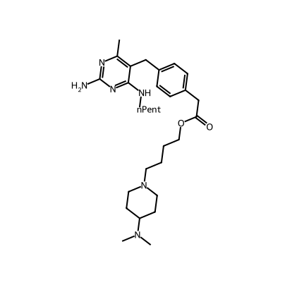 CCCCCNc1nc(N)nc(C)c1Cc1ccc(CC(=O)OCCCCN2CCC(N(C)C)CC2)cc1